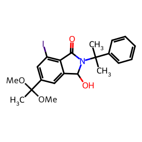 COC(C)(OC)c1cc(I)c2c(c1)C(O)N(C(C)(C)c1ccccc1)C2=O